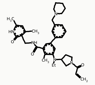 C=CC(=O)N1CCC(N(CC)c2cc(-c3cccc(CN4CCCCC4)c3)cc(C(=O)NCc3c(C)cc(C)[nH]c3=O)c2C)C1